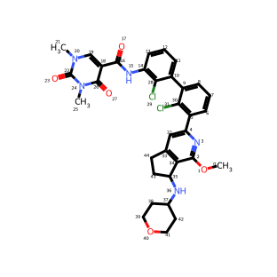 COc1nc(-c2cccc(-c3cccc(NC(=O)c4cn(C)c(=O)n(C)c4=O)c3Cl)c2Cl)cc2c1C(NC1CCOCC1)CC2